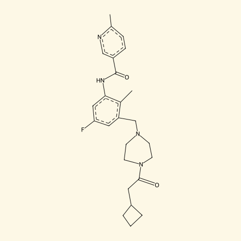 Cc1ccc(C(=O)Nc2cc(F)cc(CN3CCN(C(=O)CC4CCC4)CC3)c2C)cn1